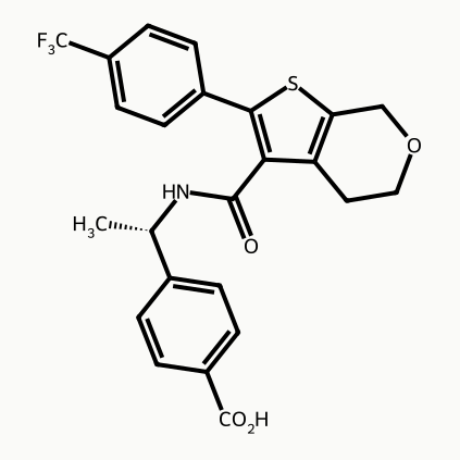 C[C@H](NC(=O)c1c(-c2ccc(C(F)(F)F)cc2)sc2c1CCOC2)c1ccc(C(=O)O)cc1